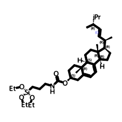 CCO[Si](CCCNC(=O)O[C@H]1CC[C@@]2(C)C(=CC=C3[C@@H]4CC[C@H]([C@H](C)/C=C/[C@H](C)C(C)C)[C@@]4(C)CC[C@@H]32)C1)(OCC)OCC